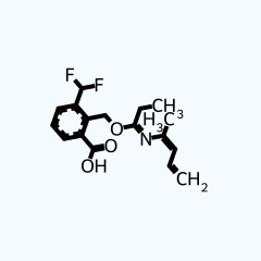 C=C/C=C(C)\N=C(/CC)OCc1c(C(=O)O)cccc1C(F)F